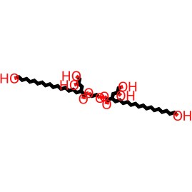 O=C(OCCOOC(=O)C(CCCCCCCCCCCCCCCCO)CC(O)CO)C(CCCCCCCCCCCCCCCCO)CC(O)CO